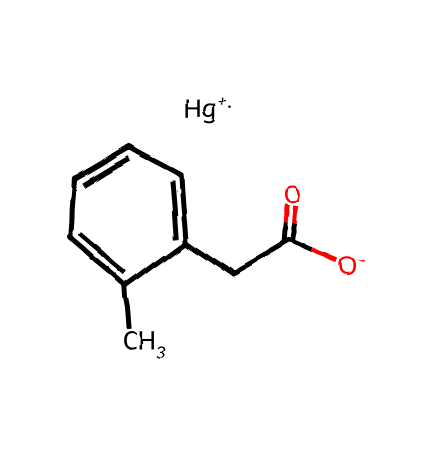 Cc1ccccc1CC(=O)[O-].[Hg+]